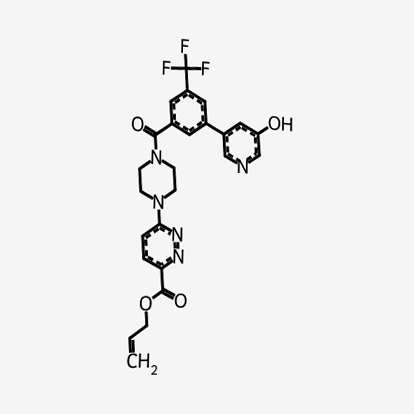 C=CCOC(=O)c1ccc(N2CCN(C(=O)c3cc(-c4cncc(O)c4)cc(C(F)(F)F)c3)CC2)nn1